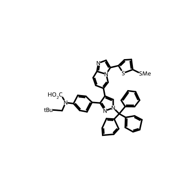 CSc1ccc(-c2cnc3ccc(-c4cn(C(c5ccccc5)(c5ccccc5)c5ccccc5)nc4-c4ccc(N(CC(C)(C)C)C(=O)O)cc4)cn23)s1